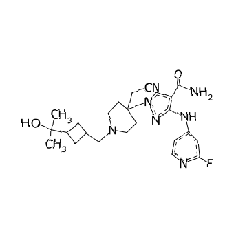 CC(C)(O)C1CC(CN2CCC(CC#N)(n3cc(C(N)=O)c(Nc4ccnc(F)c4)n3)CC2)C1